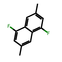 Cc1cc(F)c2cc(C)cc(F)c2c1